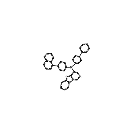 c1ccc(-c2ccc(N(c3ccc(-c4cccc5ccccc45)cc3)c3cncc4c3sc3ccccc34)cc2)cc1